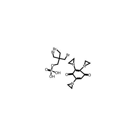 O=C1C=C(N2CC2)C(=O)C(N2CC2)=C1N1CC1.O=P(O)(O)OCC(CBr)(CBr)CBr